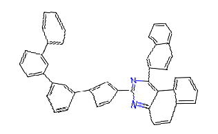 c1ccc(-c2cccc(-c3cccc(-c4ccc(-c5nc(-c6ccc7ccccc7c6)c6c(ccc7ccccc76)n5)cc4)c3)c2)cc1